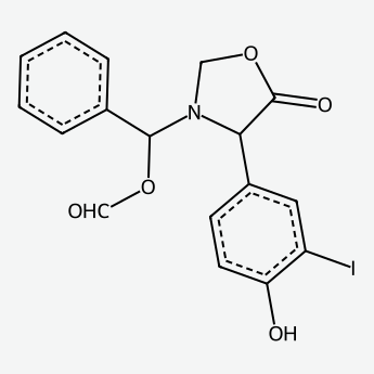 O=COC(c1ccccc1)N1COC(=O)C1c1ccc(O)c(I)c1